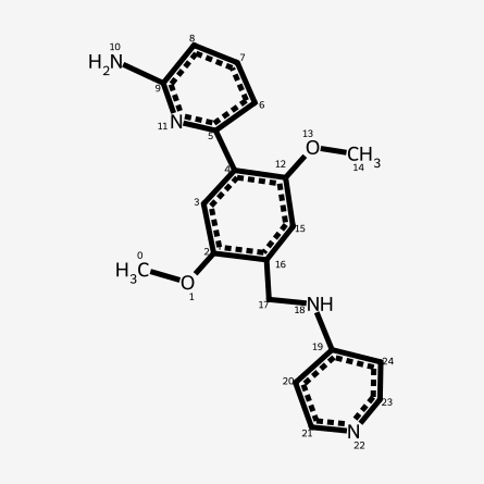 COc1cc(-c2cccc(N)n2)c(OC)cc1CNc1ccncc1